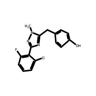 Cn1nc(-c2c(F)cccc2Cl)nc1Cc1ccc(O)cc1